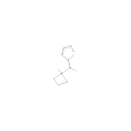 O=C(O)C1(C(O)c2cccs2)CCC1